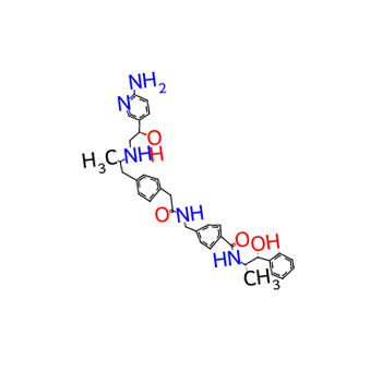 CC(Cc1ccc(CC(=O)NCc2ccc(C(=O)N[C@@H](C)[C@H](O)c3ccccc3)cc2)cc1)NC[C@H](O)c1ccc(N)nc1